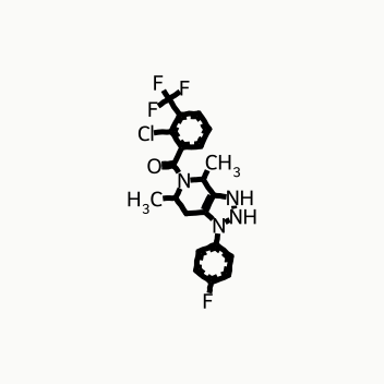 CC1CC2=C(NNN2c2ccc(F)cc2)C(C)N1C(=O)c1cccc(C(F)(F)F)c1Cl